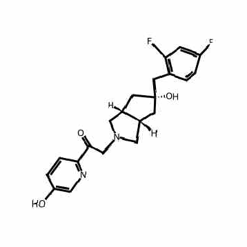 O=C(CN1C[C@@H]2C[C@@](O)(Cc3ccc(F)cc3F)C[C@@H]2C1)c1ccc(O)cn1